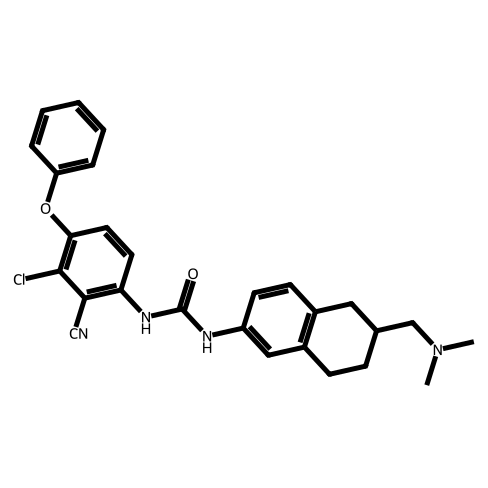 CN(C)CC1CCc2cc(NC(=O)Nc3ccc(Oc4ccccc4)c(Cl)c3C#N)ccc2C1